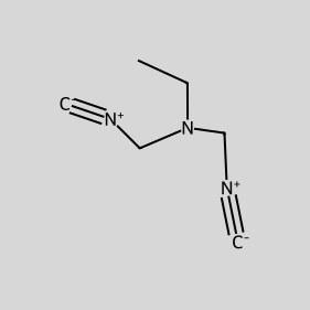 [C-]#[N+]CN(CC)C[N+]#[C-]